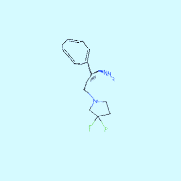 N[C@@H](CN1CCC(F)(F)C1)c1ccccc1